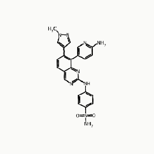 Cn1cc(-c2ccc3cnc(Nc4ccc(S(N)(=O)=O)cc4)nc3c2-c2ccc(N)nc2)cn1